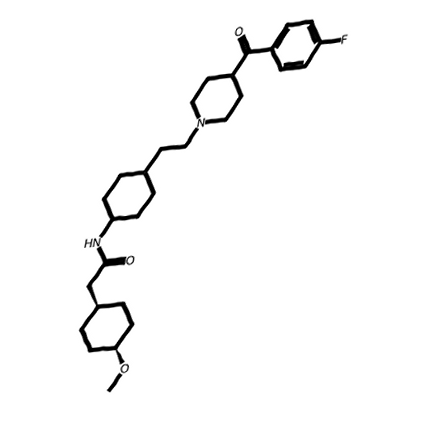 CO[C@H]1CC[C@@H](CC(=O)NC2CCC(CCN3CCC(C(=O)c4ccc(F)cc4)CC3)CC2)CC1